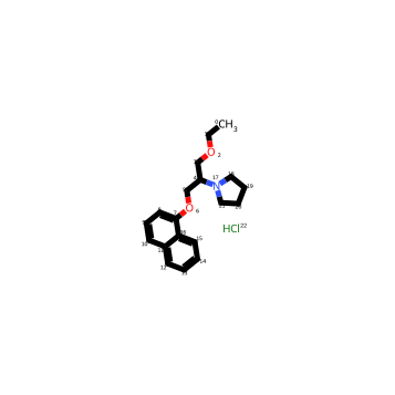 CCOCC(COc1cccc2ccccc12)N1CCCC1.Cl